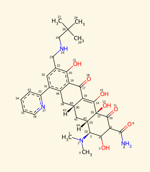 CN(C)[C@@H]1C(O)C(C(N)=O)C(=O)[C@@]2(O)C(O)=C3C(=O)c4c(O)c(CNCC(C)(C)C)cc(-c5ccccn5)c4C[C@H]3C[C@@H]12